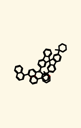 CC1(c2ccc3c(c2)C2(c4ccccc4-c4ccc(N(c5ccc(-c6cccc7ccccc67)cc5)c5ccccc5-c5ccccc5)cc42)c2cc(C4(C)CCCCC4)ccc2-3)CCCCC1